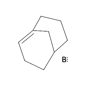 C1=C2CCCC(CC1)C2.[B]